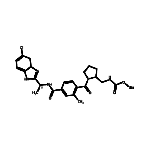 Cc1cc(C(=O)N[C@@H](C)C2=NC3CC(Cl)=CC=C3N2)ccc1C(=O)N1CCCC1CNC(=O)OC(C)(C)C